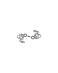 CC(C)(C)OC(=O)N1CCCC[C@H]1c1nc2cc(C#Cc3ccc4[nH]c([C@@H]5CCCCN5C(=O)OC(C)(C)C)nc4c3)ccc2[nH]1